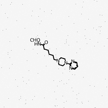 O=CNC(=O)CCCCCN1CCN(c2ncccn2)CC1